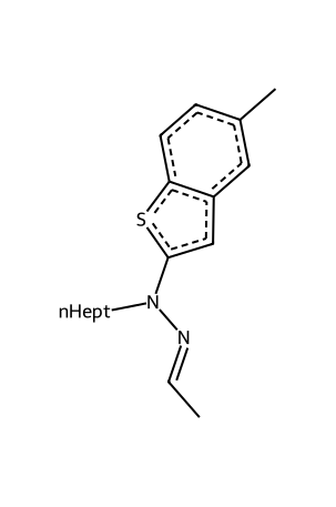 C/C=N/N(CCCCCCC)c1cc2cc(C)ccc2s1